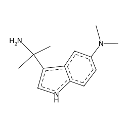 CN(C)c1ccc2[nH]cc(C(C)(C)N)c2c1